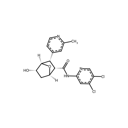 Cc1cc([C@H]2[C@H]3O[C@H](C[C@@H]3O)[C@H]2C(=O)Nc2cc(Cl)c(Cl)cn2)ccn1